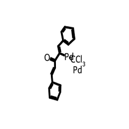 O=C(C=Cc1ccccc1)[C](=Cc1ccccc1)[Pd][C](Cl)(Cl)Cl.[Pd]